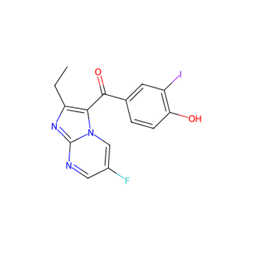 CCc1nc2ncc(F)cn2c1C(=O)c1ccc(O)c(I)c1